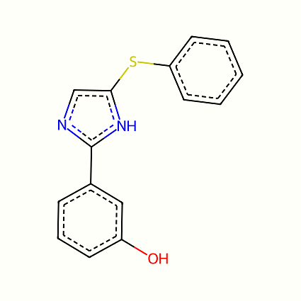 Oc1cccc(-c2ncc(Sc3ccccc3)[nH]2)c1